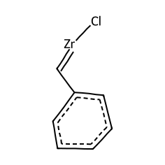 [Cl][Zr]=[CH]c1ccccc1